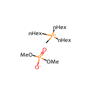 CCCCCC[P+](C)(CCCCCC)CCCCCC.COP(=O)([O-])OC